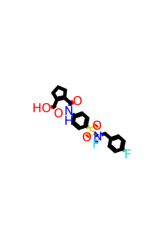 O=C(O)C1=C(C(=O)Nc2ccc(S(=O)(=O)N(F)Cc3ccc(F)cc3)cc2)CCC1